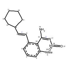 CNc1cccc(/C=C/C2CCCCC2)c1/C(N)=N\[SH](=O)=O